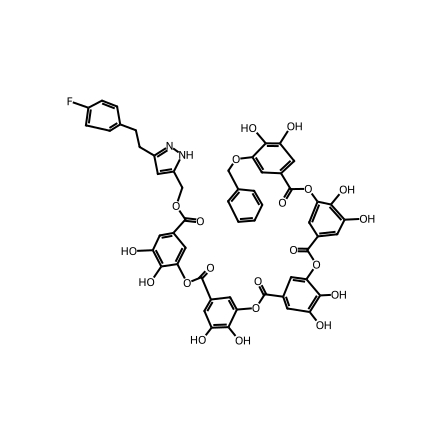 O=C(OCc1cc(CCc2ccc(F)cc2)n[nH]1)c1cc(O)c(O)c(OC(=O)c2cc(O)c(O)c(OC(=O)c3cc(O)c(O)c(OC(=O)c4cc(O)c(O)c(OC(=O)c5cc(O)c(O)c(OCc6ccccc6)c5)c4)c3)c2)c1